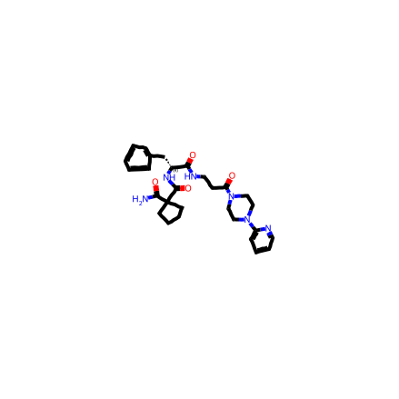 NC(=O)C1(C(=O)N[C@H](Cc2ccccc2)C(=O)NCCC(=O)N2CCN(c3ccccn3)CC2)CCCC1